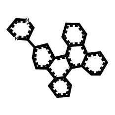 c1ccc2c(c1)c1ccccc1c1c3cc(-c4cnccn4)ccc3c3ccccc3c21